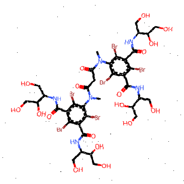 CN(C(=O)CC(=O)N(C)c1c(Br)c(C(=O)NC(CO)C(O)CO)c(Br)c(C(=O)NC(CO)C(O)CO)c1Br)c1c(Br)c(C(=O)NC(CO)C(O)CO)c(Br)c(C(=O)NC(CO)C(O)CO)c1Br